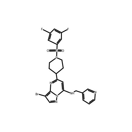 O=S(=O)(c1cc(F)cc(F)c1)N1CCC(c2cc(NCc3cccnc3)n3ncc(Br)c3n2)CC1